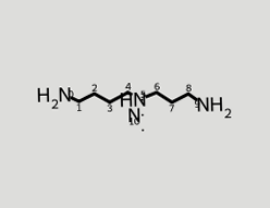 NCCCCNCCCN.[N]